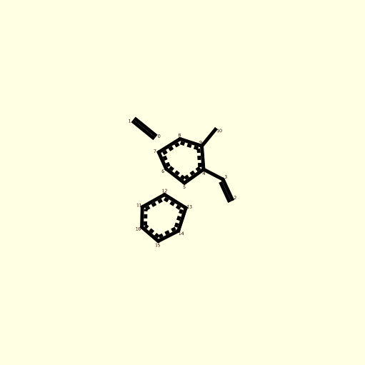 C=C.C=Cc1ccccc1C.c1ccccc1